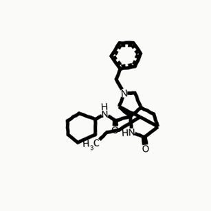 CCCC1C2CC3CN(Cc4ccccc4)C1C3(C(=O)NC1CCCCC1)NC2=O